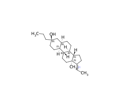 C/C=C1\CC[C@H]2[C@@H]3CC[C@@H]4C[C@@](O)(CCC)CC[C@@H]4[C@H]3CC[C@]12C